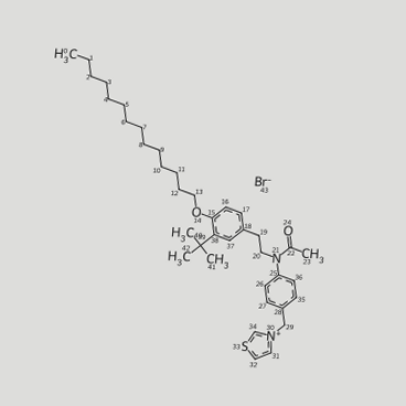 CCCCCCCCCCCCCCOc1ccc(CCN(C(C)=O)c2ccc(C[n+]3ccsc3)cc2)cc1C(C)(C)C.[Br-]